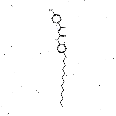 CCCCCCCCCCCCSc1ccc(NC(=O)/C=C(\C)c2ccc(O)cc2)cc1